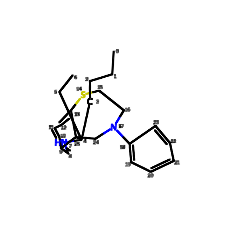 CCCCC1(CC)NC=C2C=CC=C3SCCN(c4ccccc4)CC231